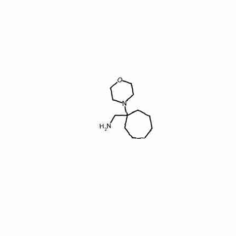 NCC1(N2CCOCC2)CCCCCC1